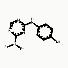 CCN(CC)c1ncnc(Nc2ccc(N)cc2)n1